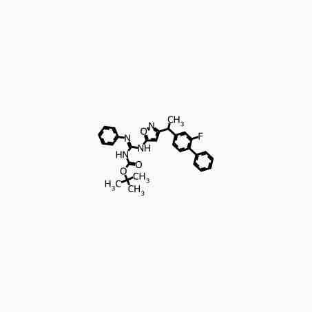 CC(c1ccc(-c2ccccc2)c(F)c1)c1cc(N/C(=N/c2ccccc2)NC(=O)OC(C)(C)C)on1